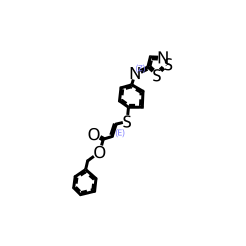 O=C(/C=C/Sc1ccc(/N=c2/cnss2)cc1)OCc1ccccc1